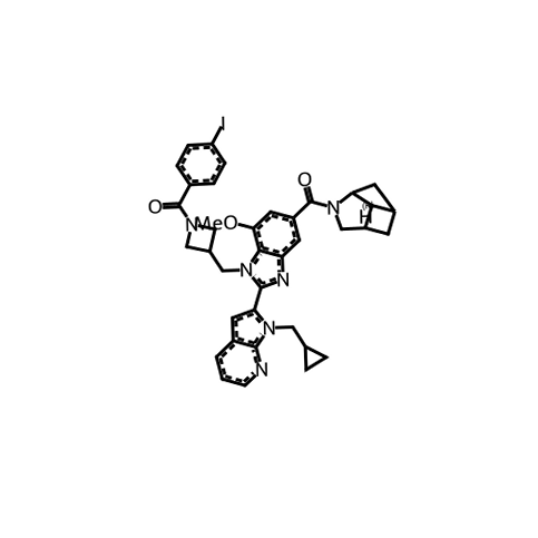 COc1cc(C(=O)N2CC3CC4CC2[C@H]43)cc2nc(-c3cc4cccnc4n3CC3CC3)n(CC3CN(C(=O)c4ccc(I)cc4)C3)c12